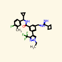 CCn1cc(-c2cc(CNC(=N)C3CCC3)cc(C(=O)NC(c3ccc(F)c(C)c3)C3CC3)c2)c(C(F)(F)F)n1